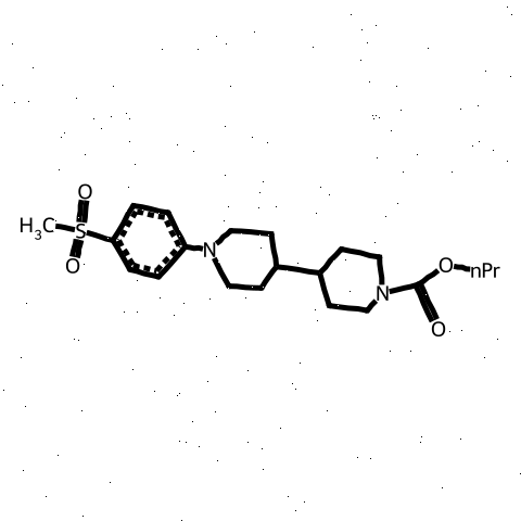 CCCOC(=O)N1CCC(C2CCN(c3ccc(S(C)(=O)=O)cc3)CC2)CC1